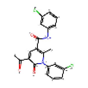 CC(=O)c1cc(C(=O)Nc2cccc(Cl)c2)c(C)n(-c2cccc(Cl)c2)c1=O